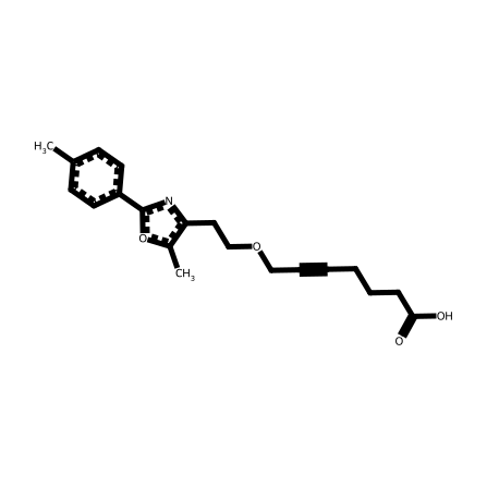 Cc1ccc(-c2nc(CCOCC#CCCCC(=O)O)c(C)o2)cc1